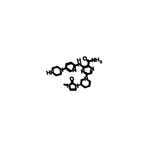 Cn1ccn([C@@H]2CCCN(c3cnc(C(N)=O)c(Nc4ccc(N5CCNCC5)cn4)n3)C2)c1=O